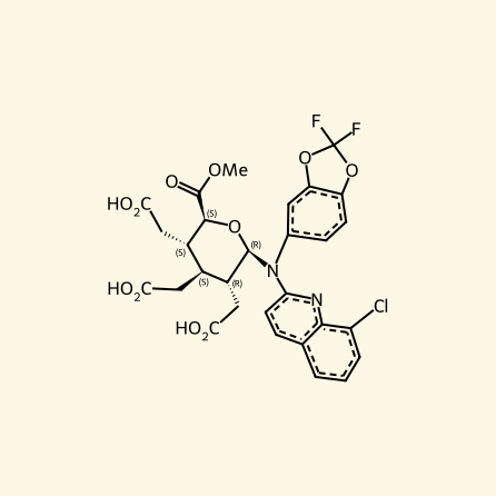 COC(=O)[C@H]1O[C@@H](N(c2ccc3c(c2)OC(F)(F)O3)c2ccc3cccc(Cl)c3n2)[C@H](CC(=O)O)[C@@H](CC(=O)O)[C@@H]1CC(=O)O